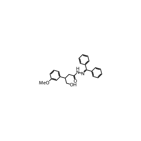 COc1cccc(C(CO)CC(=O)NN=C(c2ccccc2)c2ccccc2)c1